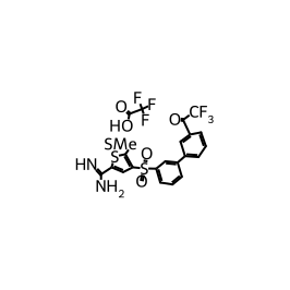 CSc1sc(C(=N)N)cc1S(=O)(=O)c1cccc(-c2cccc(C(=O)C(F)(F)F)c2)c1.O=C(O)C(F)(F)F